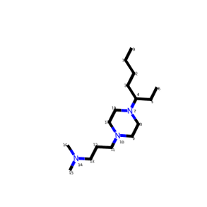 CCCCC(CC)N1CCN(CCCN(C)C)CC1